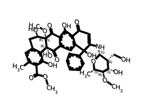 COC(=O)c1c(C)cc2c(c1O)[C@]1(O)C(=O)c3cc4c(c(O)c3C(=O)[C@]1(OC)[C@H](O)C2)C(=O)C=C(N[C@H]1O[C@@H](C)[C@H](OC)[C@@H](O)[C@H]1CO)C4(O)c1ccccc1